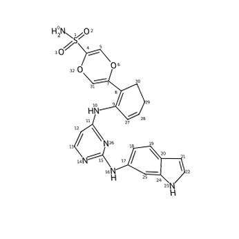 NS(=O)(=O)C1=COC(C2=C(Nc3ccnc(Nc4ccc5cc[nH]c5c4)n3)C=CCC2)=CO1